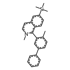 Cc1ccc(-c2ccccc2)cc1-c1c2ccc([Si](C)(C)C)cc2cc[n+]1C